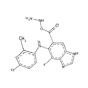 Cc1cc(Cl)ccc1Nc1c(C(=O)ONN)cc2[nH]cnc2c1F